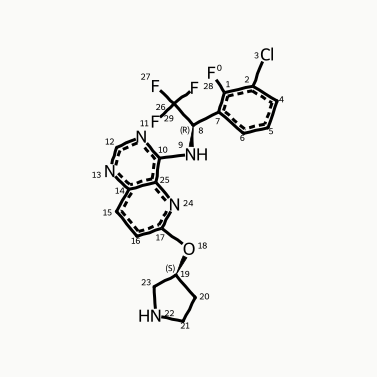 Fc1c(Cl)cccc1[C@@H](Nc1ncnc2ccc(O[C@H]3CCNC3)nc12)C(F)(F)F